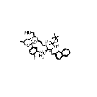 CC(C)CN(C(CO)CCCCNC(=O)[C@H](Cc1ccc2ccccc2c1)NC(=O)OC(C)(C)C)S(=O)(=O)c1ccc(F)c(N)c1